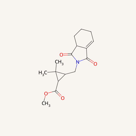 COC(=O)C1C(CN2C(=O)C3=CCCCC3C2=O)C1(C)C